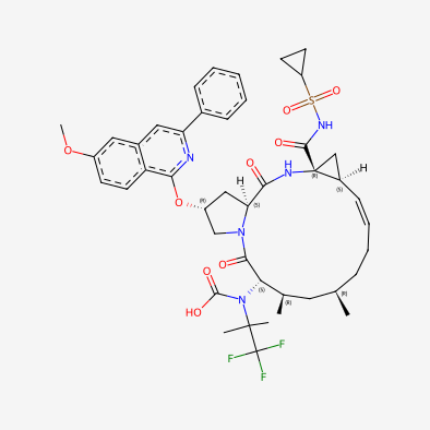 COc1ccc2c(O[C@@H]3C[C@H]4C(=O)N[C@]5(C(=O)NS(=O)(=O)C6CC6)C[C@H]5C=CCC[C@@H](C)C[C@@H](C)[C@H](N(C(=O)O)C(C)(C)C(F)(F)F)C(=O)N4C3)nc(-c3ccccc3)cc2c1